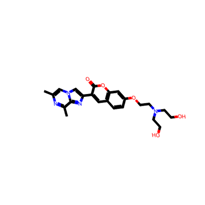 Cc1cn2cc(-c3cc4ccc(OCCN(CCO)CCO)cc4oc3=O)nc2c(C)n1